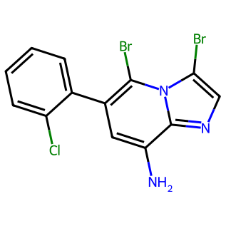 Nc1cc(-c2ccccc2Cl)c(Br)n2c(Br)cnc12